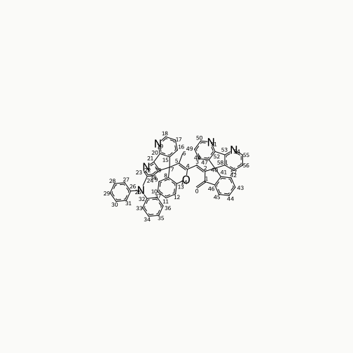 C=C1/C(=C\C2=C(C)C3(c4ccccc4O2)c2cccnc2-c2ncc(N(c4ccccc4)c4ccccc4)cc23)C2(c3ccccc31)c1cccnc1-c1ncccc12